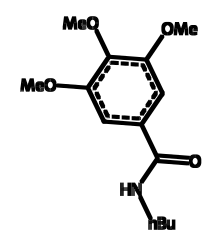 [CH2]CCCNC(=O)c1cc(OC)c(OC)c(OC)c1